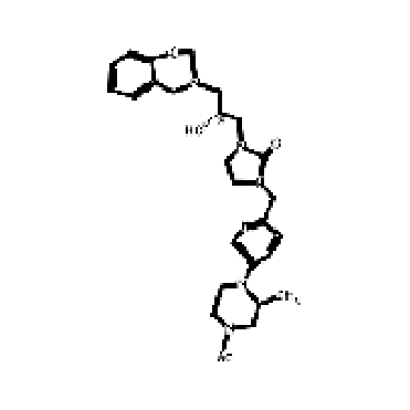 CC(=O)N1CCN(c2ccc(CN3CCN(C[C@H](O)CN4CCc5ccccc5C4)C3=O)nc2)C(C)C1